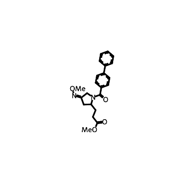 CON=C1CC(CCC(=O)OC)N(C(=O)c2ccc(-c3ccccc3)cc2)C1